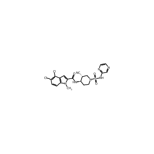 Cn1c(C(=O)N[C@@H]2CCN(S(=O)(=O)Nc3cnccn3)C[C@H]2C#N)cc2c(Cl)c(Cl)ccc21